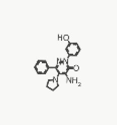 Nc1c(N2CCCC2)c(-c2ccccc2)nn(-c2cccc(O)c2)c1=O